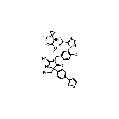 CC(C)(C)CC1(c2ccc(-c3ccsn3)cc2)NC(=N)N([C@H](COC(=O)NC2(C(F)(F)F)CC2)c2ccc(Cl)c(-n3ncnc3C(F)F)c2)C1=O